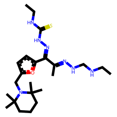 CCNCN/N=C(C)/C(=N/NC(=S)NCC)c1ccc(CN2C(C)(C)CCCC2(C)C)o1